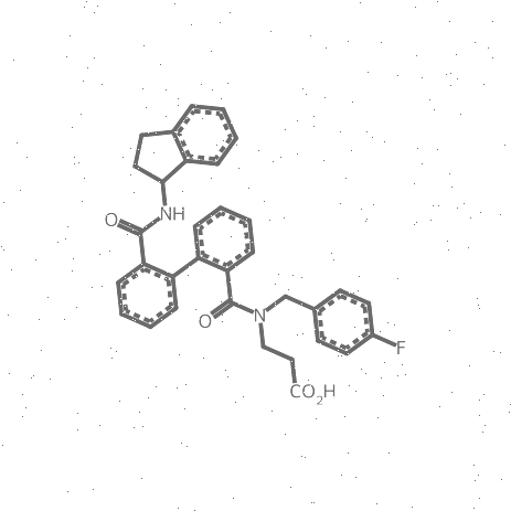 O=C(O)CCN(Cc1ccc(F)cc1)C(=O)c1ccccc1-c1ccccc1C(=O)NC1CCc2ccccc21